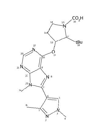 Cc1nn(C)cc1-c1nc2c(OC3CCN(C(=O)O)C3C(C)(C)C)ncnc2n1C